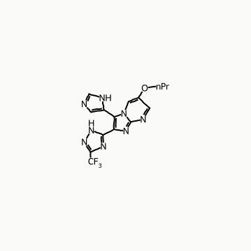 CCCOc1cnc2nc(-c3nc(C(F)(F)F)n[nH]3)c(-c3cnc[nH]3)n2c1